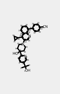 CC(C)(O)c1ccc(C2(O)CCN(c3cnc4c(-c5ccc(C#N)cc5)cccc4c3C3CC3)CC2)nc1